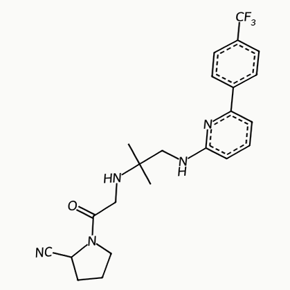 CC(C)(CNc1cccc(-c2ccc(C(F)(F)F)cc2)n1)NCC(=O)N1CCCC1C#N